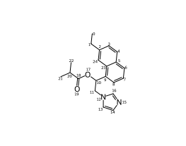 CCc1ccc2cccc(C(Cn3ccnc3)OC(=O)C(C)C)c2c1